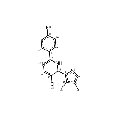 Cc1csc(C2NC(c3ccc(F)cc3)=NC=C2Cl)c1C